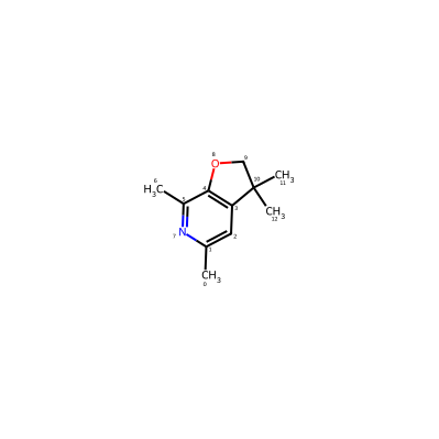 Cc1cc2c(c(C)n1)OCC2(C)C